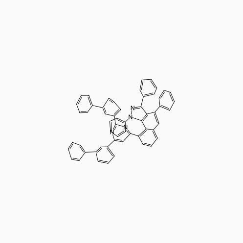 c1ccc(-c2cccc(-c3cc(-c4cccc5cc(-c6ccccc6)c6c(-c7ccccc7)nn(-c7ccccc7)c6c45)nc(-c4cccc(-c5ccccc5)c4)n3)c2)cc1